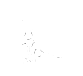 CCCCCc1ccc(OP(=O)(O)O)c(-c2nc3ccc(CCCCC)cc3c(=O)[nH]2)c1